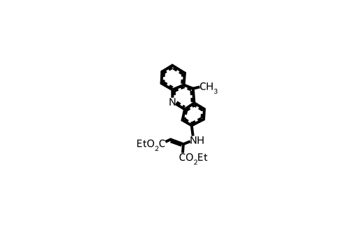 CCOC(=O)C=C(Nc1ccc2c(C)c3ccccc3nc2c1)C(=O)OCC